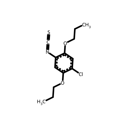 CCCOc1cc(N=C=S)c(OCCC)cc1Cl